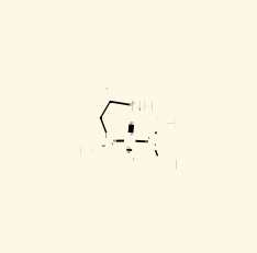 CN(C)S(=O)(=O)N(C)C[C@@H](N)C(C)(C)C